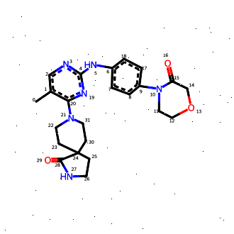 Cc1cnc(Nc2ccc(N3CCOCC3=O)cc2)nc1N1CCC2(CCNC2=O)CC1